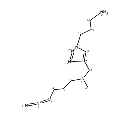 CN(CCCN=[N+]=[N-])Cc1cn(CCCN)nn1